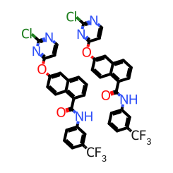 O=C(Nc1cccc(C(F)(F)F)c1)c1cccc2cc(Oc3ccnc(Cl)n3)ccc12.O=C(Nc1cccc(C(F)(F)F)c1)c1cccc2cc(Oc3ccnc(Cl)n3)ccc12